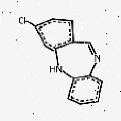 Clc1ccc2c(c1)Nc1ccccc1N=C2